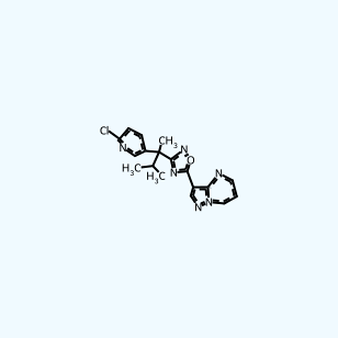 CC(C)C(C)(c1ccc(Cl)nc1)c1noc(-c2cnn3cccnc23)n1